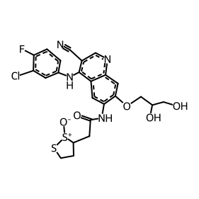 N#Cc1cnc2cc(OCC(O)CO)c(NC(=O)CC3CCS[S+]3[O-])cc2c1Nc1ccc(F)c(Cl)c1